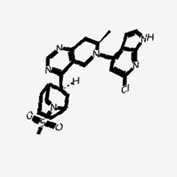 C[C@@H]1Cc2ncnc([C@H]3CC4CCCC3CN4S(C)(=O)=O)c2CN1c1cc(Cl)nc2[nH]ccc12